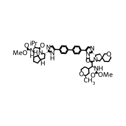 COC(=O)N[C@H](C(=O)N1[C@H](c2ncc(-c3ccc(-c4ccc(-c5cnc([C@@H]6C[C@@]7(CCCOC7)CN6C(=O)[C@@H](NC(=O)OC)C6CCO[C@H](C)C6)[nH]5)cc4)cc3)[nH]2)C[C@@H]2CCC[C@@H]21)C(C)C